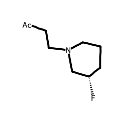 CC(=O)CCN1CCC[C@H](F)C1